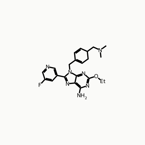 CCOc1nc(N)c2nc(-c3cncc(F)c3)n(CC3=CCC(CN(C)C)C=C3)c2n1